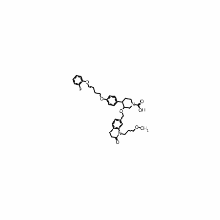 COCCCN1C(=O)CCc2ccc(COC3CN(C(=O)O)CCC3c3ccc(OCCCCOc4ccccc4F)cc3)cc21